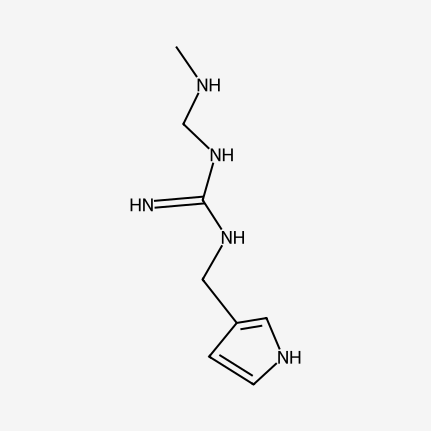 CNCNC(=N)NCc1cc[nH]c1